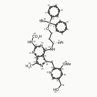 CCC[C@@H](CCO[Si](c1ccccc1)(c1ccccc1)C(C)(C)C)Nc1nc(NC(=O)O)nc2c(C)nn(Cc3ncc(CO)cc3OC)c12